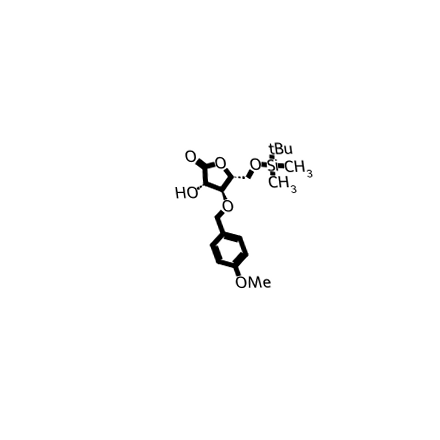 COc1ccc(CO[C@H]2[C@H](O)C(=O)O[C@@H]2CO[Si](C)(C)C(C)(C)C)cc1